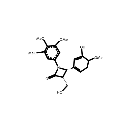 COc1cc(N2C(=O)[C@@H](CO)[C@H]2C2=CCC(OC)C(O)=C2)cc(OC)c1OC